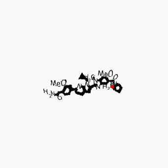 COc1cc(-c2ccc3cc(-c4nc5cc(C(=O)N6CC7CCC6[C@@H]7N)cc(OC)c5n4C)n(CC4CC4)c3n2)ccc1CC(N)=O